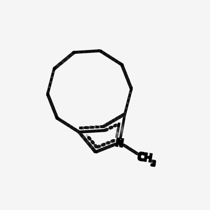 Cn1cc2cc1CCCCCCC2